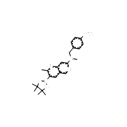 COc1ccc(CN(C)c2cc3nc(C)c(B4OC(C)(C)C(C)(C)O4)cc3cn2)cc1